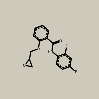 O=C(Nc1ccc(F)cc1F)c1ccccc1OCC1CO1